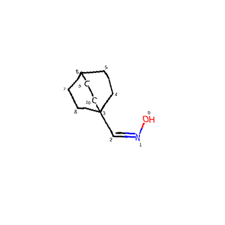 O/N=C\C12CCC(CC1)CC2